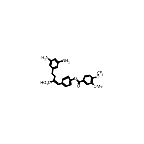 COc1cc(C(=O)Oc2ccc(/C=C(\CCc3cc(N)cc(N)c3)C(=O)O)cc2)ccc1OC(F)(F)F